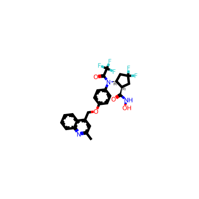 Cc1cc(COc2ccc(N(C(=O)C(F)(F)F)[C@@H]3CC(F)(F)C[C@H]3C(=O)NO)cc2)c2ccccc2n1